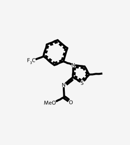 COC(=O)N=c1sc(C)cn1-c1cccc(C(F)(F)F)c1